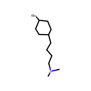 CN(C)CCCCC1CCC(C(C)(C)C)CC1